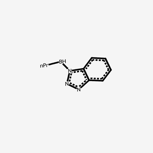 CCCBn1nnc2ccccc21